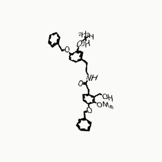 [2H]C([2H])([2H])Oc1cc(CCNC(=O)Cc2ccc(OCc3ccccc3)c(OC)c2CO)ccc1OCc1ccccc1